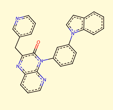 O=c1c(Cc2cccnc2)nc2cccnc2n1-c1cccc(-n2ccc3ccccc32)c1